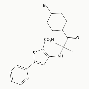 CCC1CCC(C(=O)C(C)(C)Nc2cc(-c3ccccc3)sc2C(=O)O)CC1